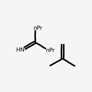 C=C(C)C.CCCC(=N)CCC